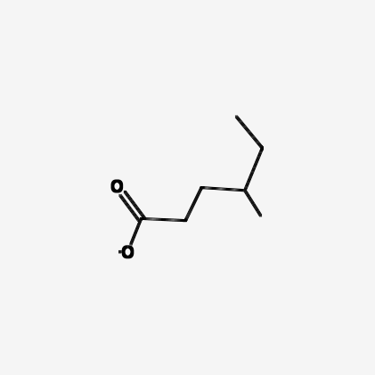 CCC(C)CCC([O])=O